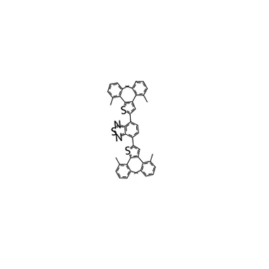 Cc1cccc(C)c1-c1cc(-c2ccc(-c3cc(-c4c(C)cccc4C)c(-c4c(C)cccc4C)s3)c3nsnc23)sc1-c1c(C)cccc1C